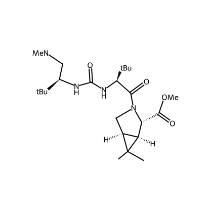 CNC[C@@H](NC(=O)N[C@H](C(=O)N1C[C@H]2[C@@H]([C@H]1C(=O)OC)C2(C)C)C(C)(C)C)C(C)(C)C